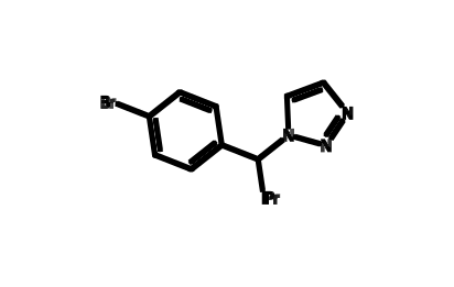 CC(C)C(c1ccc(Br)cc1)n1ccnn1